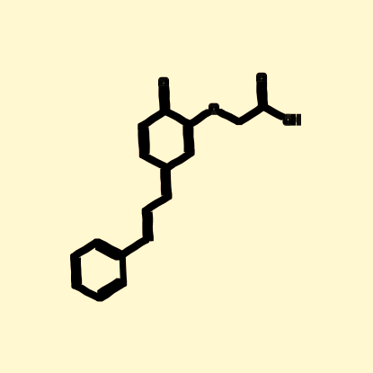 O=C(O)COC1=C/C(=C/C=C/c2ccccc2)C=CC1=O